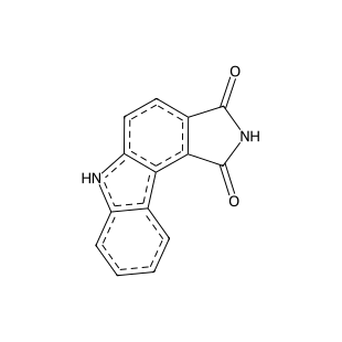 O=C1NC(=O)c2c1ccc1[nH]c3ccccc3c21